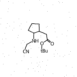 CC(C)(C)OC(=O)CC1CCCC1NCC#N